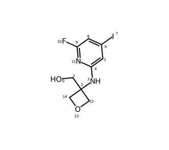 OCC1(Nc2cc(I)cc(F)n2)COC1